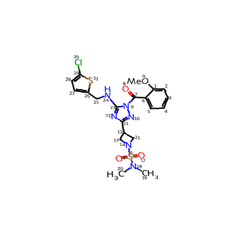 COc1ccccc1C(=O)n1nc(C2CN(S(=O)(=O)N(C)C)C2)nc1NCc1ccc(Cl)s1